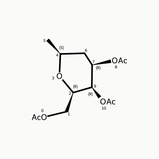 CC(=O)OC[C@H]1O[C@@H](C)C[C@@H](OC(C)=O)[C@H]1OC(C)=O